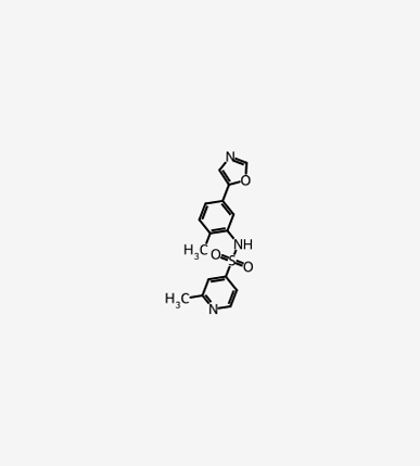 Cc1cc(S(=O)(=O)Nc2cc(-c3cnco3)ccc2C)ccn1